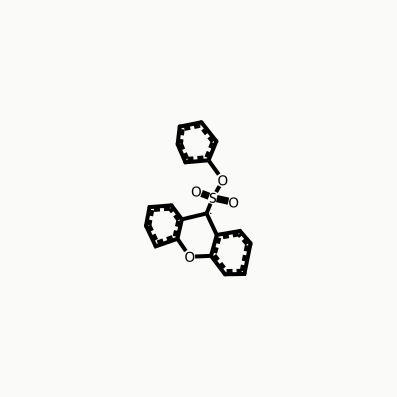 O=S(=O)(Oc1ccccc1)[C]1c2ccccc2Oc2ccccc21